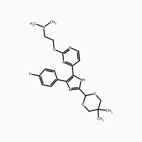 CN(C)CCOc1nccc(-c2[nH]c(C3OCC(C)(C)CO3)nc2-c2ccc(F)cc2)n1